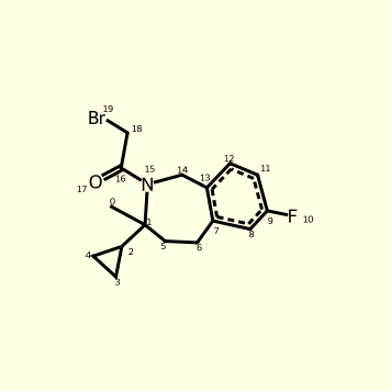 CC1(C2CC2)CCc2cc(F)ccc2CN1C(=O)CBr